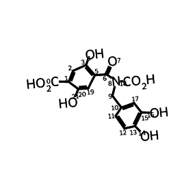 O=C(O)c1cc(O)c(C(=O)N(Cc2ccc(O)c(O)c2)C(=O)O)cc1O